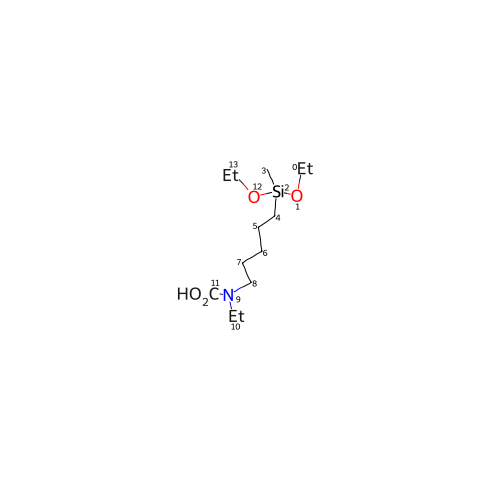 CCO[Si](C)(CCCCCN(CC)C(=O)O)OCC